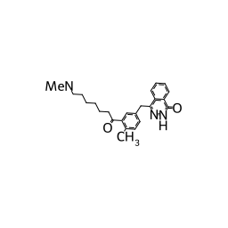 CNCCCCCCC(=O)c1cc(Cc2n[nH]c(=O)c3ccccc23)ccc1C